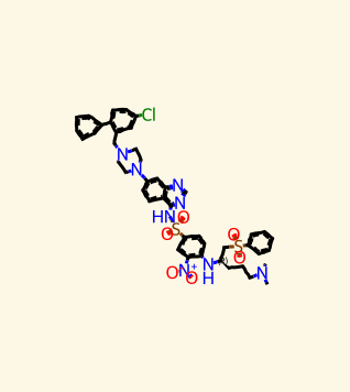 CN(C)CCC[C@H](CS(=O)(=O)c1ccccc1)Nc1ccc(S(=O)(=O)Nc2ncnc3cc(N4CCN(Cc5cc(Cl)ccc5-c5ccccc5)CC4)ccc23)cc1[N+](=O)[O-]